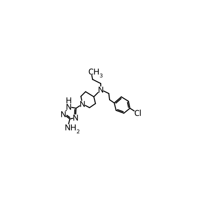 CCCN(CCc1ccc(Cl)cc1)C1CCN(c2nc(N)n[nH]2)CC1